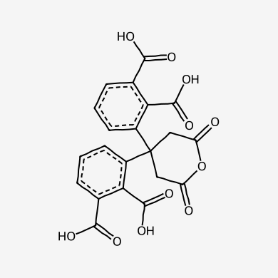 O=C1CC(c2cccc(C(=O)O)c2C(=O)O)(c2cccc(C(=O)O)c2C(=O)O)CC(=O)O1